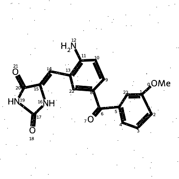 COc1cccc(C(=O)c2ccc(N)c(C=C3NC(=O)NC3=O)c2)c1